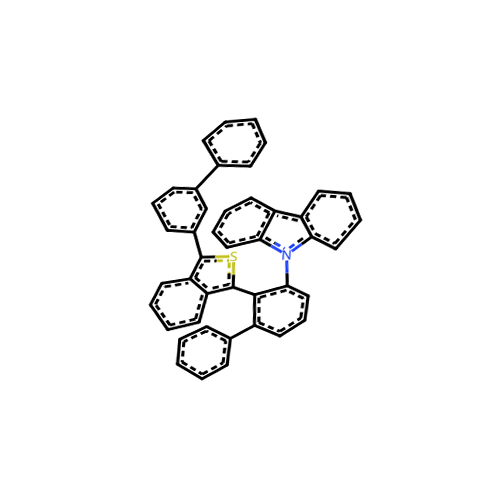 c1ccc(-c2cccc(-c3sc(-c4c(-c5ccccc5)cccc4-n4c5ccccc5c5ccccc54)c4ccccc34)c2)cc1